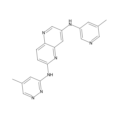 Cc1cncc(Nc2cnc3ccc(Nc4cc(C)cnn4)nc3c2)c1